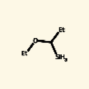 CCOC([SiH3])CC